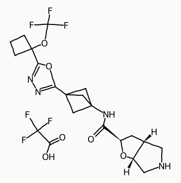 O=C(NC12CC(c3nnc(C4(OC(F)(F)F)CCC4)o3)(C1)C2)[C@H]1C[C@@H]2CNC[C@@H]2O1.O=C(O)C(F)(F)F